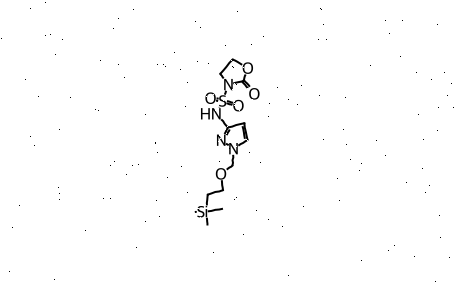 C[Si](C)(C)CCOCn1ccc(NS(=O)(=O)N2CCOC2=O)n1